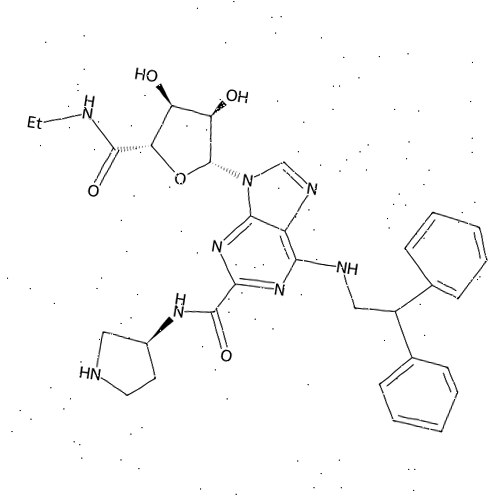 CCNC(=O)[C@H]1O[C@@H](n2cnc3c(NCC(c4ccccc4)c4ccccc4)nc(C(=O)N[C@H]4CCNC4)nc32)[C@H](O)[C@@H]1O